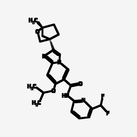 CC(C)Oc1cc2nc([C@@]34CC[C@](C)(C3)OC4)cn2cc1C(=O)Nc1cccc(C(F)F)n1